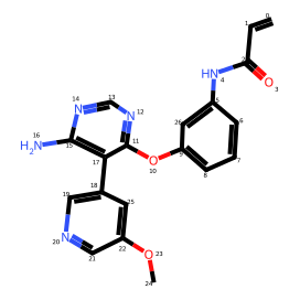 C=CC(=O)Nc1cccc(Oc2ncnc(N)c2-c2cncc(OC)c2)c1